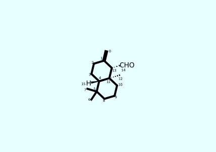 C=C1CC[C@H]2C(C)(C)CCC[C@]2(C)[C@H]1C=O